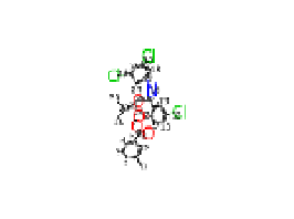 Cc1cccc(C(=O)Oc2cc(Cl)cc(C=Nc3cc(Cl)cc(Cl)c3)c2OC(=O)C(C)C)c1